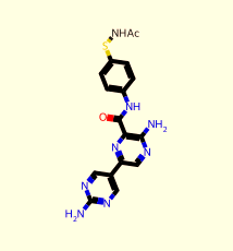 CC(=O)NSc1ccc(NC(=O)c2nc(-c3cnc(N)nc3)cnc2N)cc1